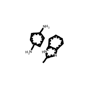 Cc1nc2ccccc2[nH]1.Nc1ccc(N)cc1